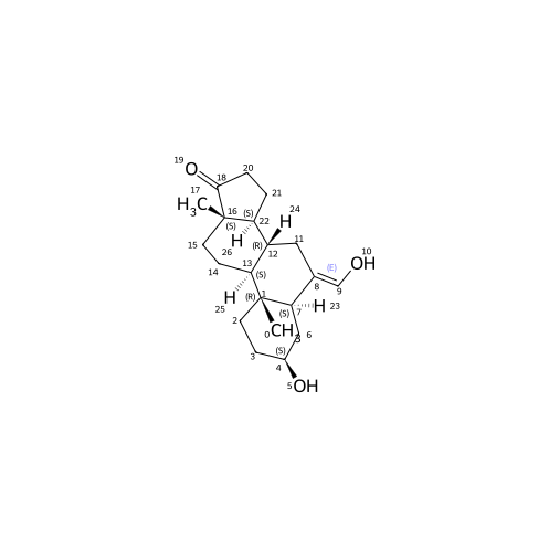 C[C@]12CC[C@H](O)C[C@@H]1/C(=C/O)C[C@@H]1[C@@H]2CC[C@]2(C)C(=O)CC[C@@H]12